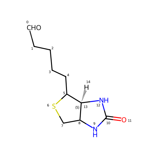 O=CCCCCC1SCC2NC(=O)N[C@@H]21